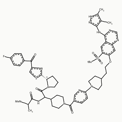 CNC(C)C(=O)NC(C(=O)N1CCC[C@H]1c1nc(C(=O)c2ccc(F)cc2)cs1)C1CCN(C(=O)c2ccc(N3CCC(CCOc4cc5ncnc(Nc6n[nH]c(C)c6C)c5cc4S(=O)(=O)C(C)(C)C)CC3)nc2)CC1